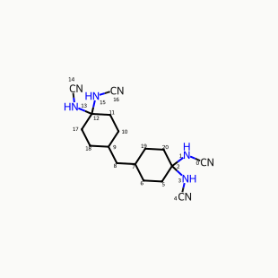 N#CNC1(NC#N)CCC(CC2CCC(NC#N)(NC#N)CC2)CC1